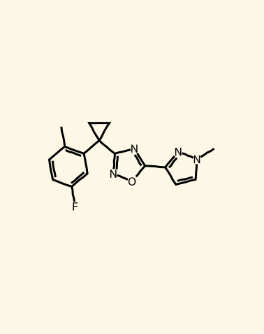 Cc1ccc(F)cc1C1(c2noc(-c3ccn(C)n3)n2)CC1